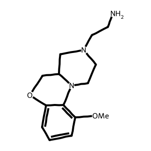 COc1cccc2c1N1CCN(CCN)CC1CO2